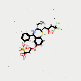 CC[C@H]1NC(c2ccccc2)c2cc(OCCC3(S(=O)(=O)O)OO3)ccc2S[C@@H]1CC(O)CC(F)(F)F